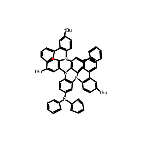 CC(C)(C)c1ccc2c(c1)B1c3ccc(N(c4ccccc4)c4ccccc4)cc3N(c3ccc(C(C)(C)C)cc3-c3ccccc3)c3cc(-c4ccccc4)cc(c31)N2c1ccc(C(C)(C)C)cc1-c1ccccc1